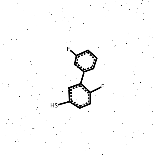 Fc1cccc(-c2cc(S)ccc2F)c1